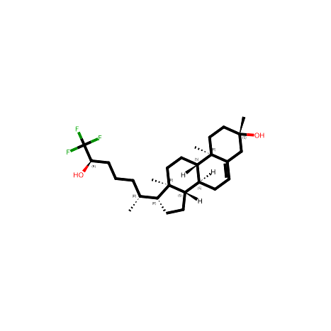 C[C@H](CCC[C@@H](O)C(F)(F)F)[C@H]1CC[C@H]2[C@@H]3CC=C4C[C@@](C)(O)CC[C@]4(C)[C@H]3CC[C@]12C